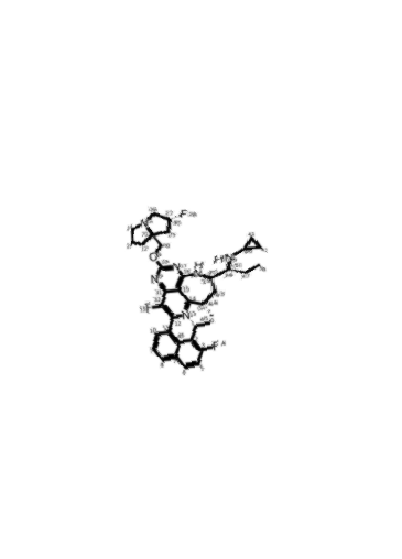 CCc1c(F)ccc2cccc(-c3nc4c5c(nc(OC[C@@]67CCCN6C[C@H](F)C7)nc5c3F)N[C@@H]([C@H](CC)NC3CC3)C[C@@H]4C)c12